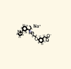 CC/C(=N\OCCOc1cccc(CC(=O)[O-])c1)c1cccc(-n2cccn2)c1.[Na+]